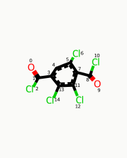 O=C(Cl)c1cc(Cl)c(C(=O)Cl)c(Cl)c1Cl